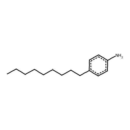 CCCCC[CH]CCCc1ccc(N)cc1